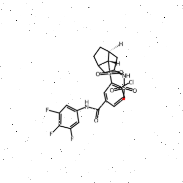 CS(=O)(=O)N[C@H]1CC2CC[C@@H](C1)[C@@H]2S(=O)(=O)c1cc(C(=O)Nc2cc(F)c(F)c(F)c2)ccc1Cl